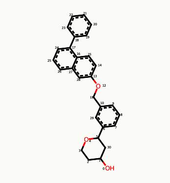 OC1CCOC(c2cccc(COc3ccc4c(-c5ccccc5)cccc4c3)c2)C1